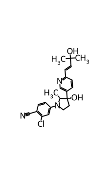 C[C@@H]1N(c2ccc(C#N)c(Cl)c2)CC[C@@]1(O)c1ccc(/C=C/C(C)(C)O)nc1